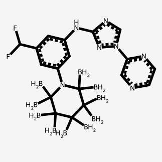 BC1(B)N(c2cc(Nc3ncn(-c4cnccn4)n3)cc(C(F)F)c2)C(B)(B)C(B)(B)C(B)(B)C1(B)B